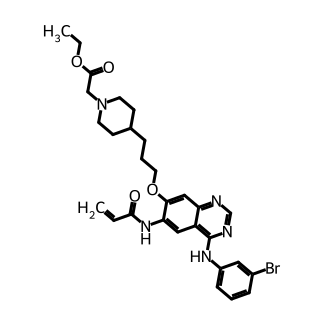 C=CC(=O)Nc1cc2c(Nc3cccc(Br)c3)ncnc2cc1OCCCC1CCN(CC(=O)OCC)CC1